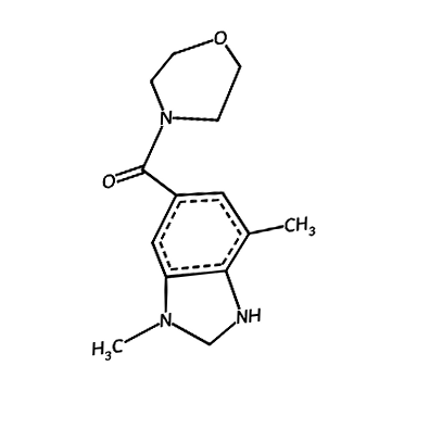 Cc1cc(C(=O)N2CCOCC2)cc2c1NCN2C